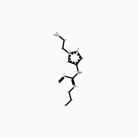 C=N/C(=N\CCC)Nc1cnn(CCO)c1